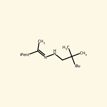 CCCC(C)/C(C)=N/NCC(C)(C)C(C)CC